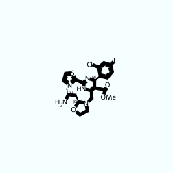 COC(=O)C1=C(CN2CCO[C@H]2C[C@@H](C)N)NC(c2nccs2)=N[C@H]1c1ccc(F)cc1Cl